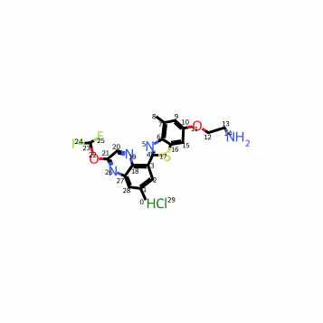 Cc1cc(-c2nc3c(C)cc(OCCN)cc3s2)c2ncc(OC(F)F)nc2c1.Cl